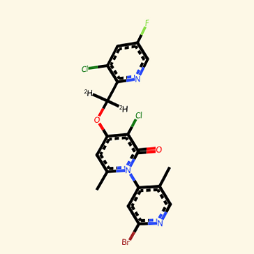 [2H]C([2H])(Oc1cc(C)n(-c2cc(Br)ncc2C)c(=O)c1Cl)c1ncc(F)cc1Cl